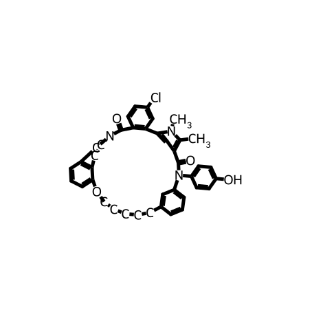 Cc1c2cc(n1C)-c1cc(Cl)ccc1C(=O)N1CCc3c(cccc3OCCCCCc3cccc(c3)N(c3ccc(O)cc3)C2=O)C1